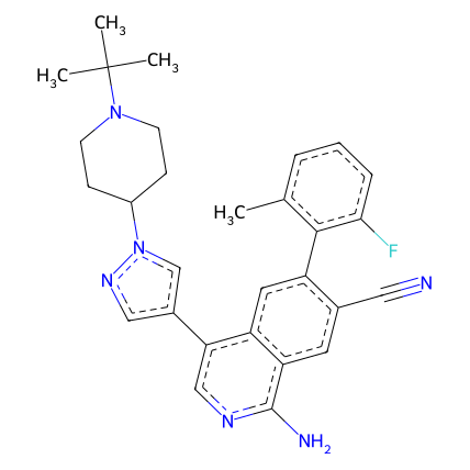 Cc1cccc(F)c1-c1cc2c(-c3cnn(C4CCN(C(C)(C)C)CC4)c3)cnc(N)c2cc1C#N